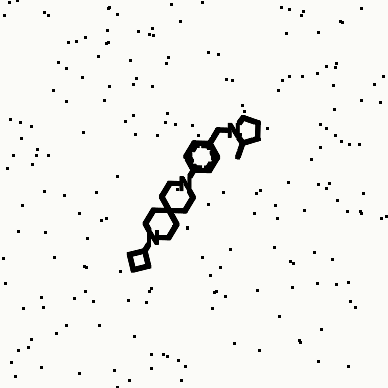 CC1CCCN1Cc1ccc(N2CCC3(CC2)CCN(C2CCC2)CC3)cc1